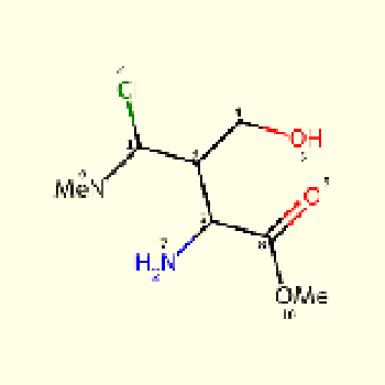 CNC(Cl)C(CO)C(N)C(=O)OC